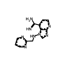 N=C(N)c1ccnc2ncn(NCc3ncccn3)c12